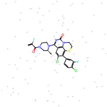 C=C(F)C(=O)N1CCN(c2nc(=O)n3c4c(c(-c5ccc(Cl)c(F)c5)c(Cl)cc24)SCC3)[C@@H](C)C1